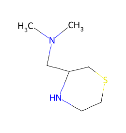 CN(C)CC1CSCCN1